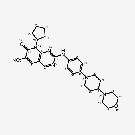 N#Cc1cc2cnc(Nc3ccc(N4CCC(N5CCOCC5)CC4)cc3)nc2n(C2CCCC2)c1=O